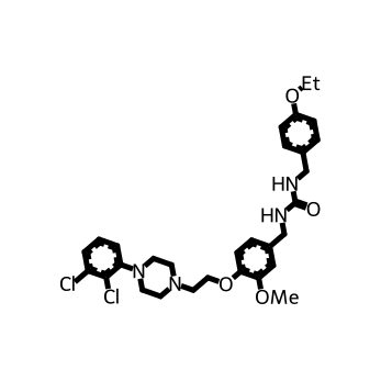 CCOc1ccc(CNC(=O)NCc2ccc(OCCN3CCN(c4cccc(Cl)c4Cl)CC3)c(OC)c2)cc1